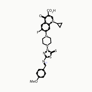 COc1ccc(/C=N/c2nn(N3CCN(c4cc5c(cc4F)c(=O)c(C(=O)O)cn5C4CC4)CC3)c(=S)s2)cc1